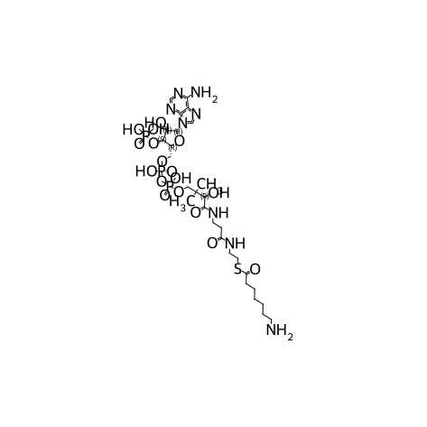 CC(C)(COP(=O)(O)OP(=O)(O)OC[C@H]1O[C@@H](n2cnc3c(N)ncnc32)[C@H](O)[C@@H]1OP(=O)(O)O)[C@@H](O)C(=O)NCCC(=O)NCCSC(=O)CCCCCCN